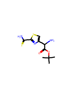 CC(C)(C)OC(=O)C(N)c1csc(C(N)=S)n1